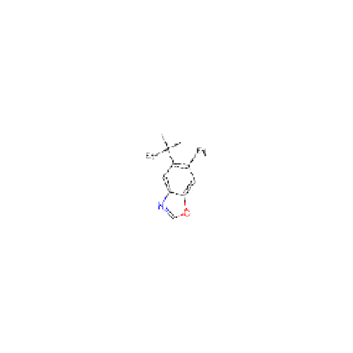 CCc1cc2ocnc2cc1C(C)(C)CC